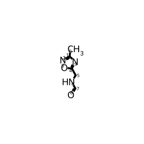 Cc1noc(CNC=O)n1